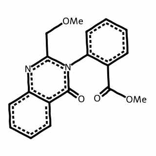 COCc1nc2ccccc2c(=O)n1-c1ccccc1C(=O)OC